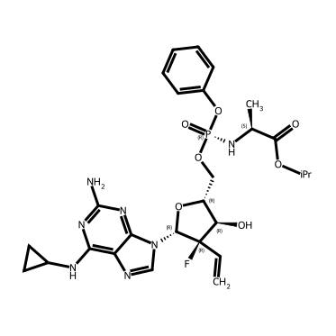 C=C[C@@]1(F)[C@H](O)[C@@H](CO[P@](=O)(N[C@@H](C)C(=O)OC(C)C)Oc2ccccc2)O[C@H]1n1cnc2c(NC3CC3)nc(N)nc21